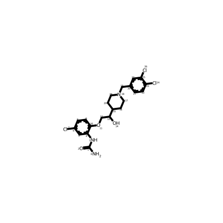 NC(=O)Nc1cc(Cl)ccc1OCC(O)C1CCN(Cc2ccc(Cl)c(Cl)c2)CC1